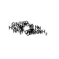 Nc1nc2c(ncn2[C@@H]2S[C@@H]3COP(=O)(S)O[C@@H]4[C@@H](COP(=O)(S)O[C@@H]2[C@H]3F)OC[C@]4(F)N2NNc3c(N)ncnc32)c(=O)[nH]1